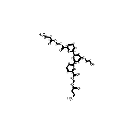 CCCC(=O)OCOC(=O)c1cccc(-c2cc(OCCO)cc(-c3cccc(C(=O)OCOC(=O)CCC)n3)n2)n1